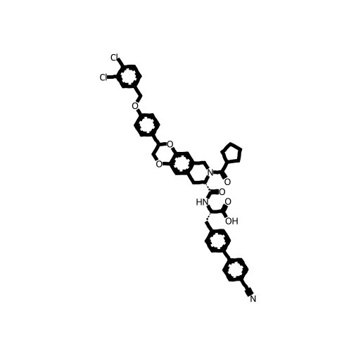 N#Cc1ccc(-c2ccc(C[C@H](NC(=O)[C@@H]3Cc4cc5c(cc4CN3C(=O)C3CCCC3)OC(c3ccc(OCc4ccc(Cl)c(Cl)c4)cc3)CO5)C(=O)O)cc2)cc1